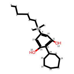 CCCCCC[Si](C)(C)c1cc(O)c(C2CCCCCC2)c(O)c1